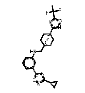 CC(F)(F)c1nc(C23CCC(CNc4cccc(-c5nc(C6CC6)no5)c4)(CC2)CC3)no1